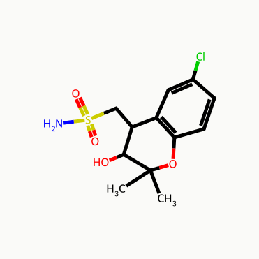 CC1(C)Oc2ccc(Cl)cc2C(CS(N)(=O)=O)C1O